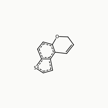 C1=Cc2c(ccc3sccc23)OC1